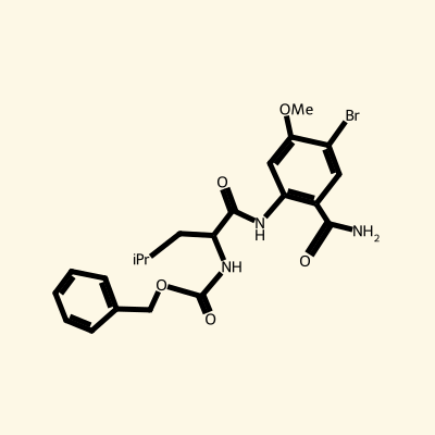 COc1cc(NC(=O)C(CC(C)C)NC(=O)OCc2ccccc2)c(C(N)=O)cc1Br